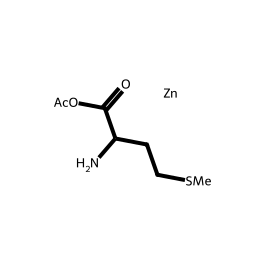 CSCCC(N)C(=O)OC(C)=O.[Zn]